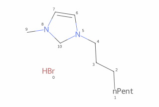 Br.CCCCCCCCN1C=CN(C)C1